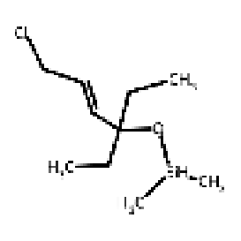 CCC(C=CCCl)(CC)O[SiH](C)C